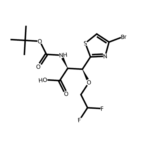 CC(C)(C)OC(=O)N[C@H](C(=O)O)[C@H](OCC(F)F)c1nc(Br)cs1